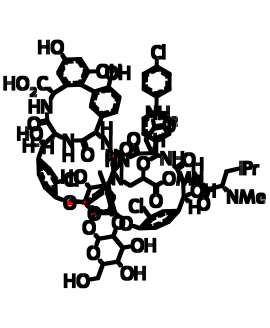 CN[C@H](CC(C)C)C(=O)NC1C(=O)N[C@@H](CC(N)=O)C(=O)N[C@H]2C(=O)NC3C(=O)N[C@H](C(=O)N[C@@H](C(=O)O)c4cc(O)cc(O)c4-c4cc3ccc4O)[C@H](O)c3ccc(c(Cl)c3)Oc3cc2cc(c3OC2OC(CO)C(O)C(O)C2OC2CC(C)(NCC(OCc3ccc(-c4ccc(Cl)cc4)cc3)C(=O)OC)C(O)C(C)O2)Oc2ccc(cc2Cl)[C@H]1O